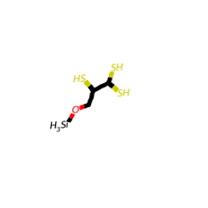 [SiH3]OCC(S)C(S)S